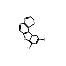 Clc1cc(Br)cc2c1oc1ccc3c(c12)CCC=C3